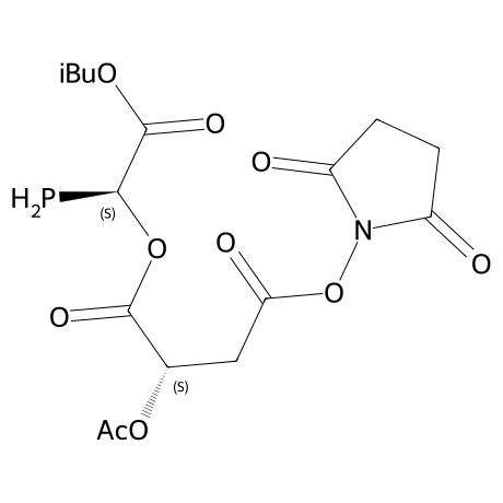 CC(=O)O[C@@H](CC(=O)ON1C(=O)CCC1=O)C(=O)O[C@@H](P)C(=O)OCC(C)C